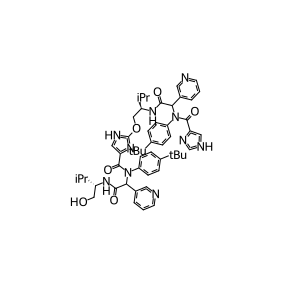 CC(C)[C@H](COc1nc(C(=O)N(c2ccc(C(C)(C)C)cc2)C(C(=O)N[C@H](CO)C(C)C)c2cccnc2)c[nH]1)NC(=O)C(c1cccnc1)N(C(=O)c1c[nH]cn1)c1ccc(C(C)(C)C)cc1